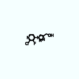 OCc1cn(-c2ccnc(Cl)c2F)nn1